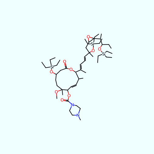 CCC(O[Si](CC)(CC)CC)C(C)C1OC1CC(C)(/C=C/C=C(\C)C1OC(=O)CC(O[Si](CC)(CC)CC)CCC(C)(OC)C(OC(=O)N2CCN(C)CC2)/C=C/C1C)O[Si](CC)(CC)CC